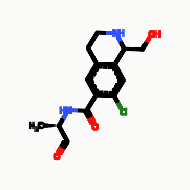 C[C@@H](C=O)NC(=O)c1cc2c(cc1Cl)C(CO)NCC2